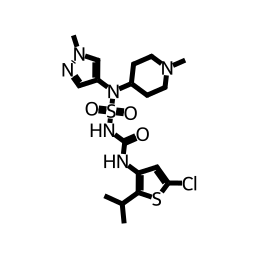 CC(C)c1sc(Cl)cc1NC(=O)NS(=O)(=O)N(c1cnn(C)c1)C1CCN(C)CC1